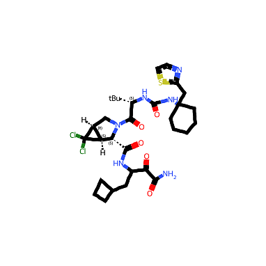 CC(C)(C)[C@H](NC(=O)NC1(Cc2nccs2)CCCCC1)C(=O)N1C[C@H]2[C@@H]([C@H]1C(=O)NC(CC1CCC1)C(=O)C(N)=O)C2(Cl)Cl